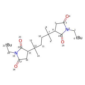 CC(C)(C)CN1C(=O)CC(C(C)(C)CCC(C)(C)C2CC(=O)N(CC(C)(C)C)C2=O)C1=O